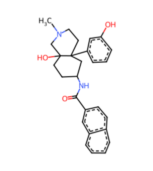 CN1CCC2(c3cccc(O)c3)CC(NC(=O)c3ccc4ccccc4c3)CCC2(O)C1